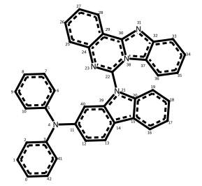 c1ccc(N(c2ccccc2)c2ccc3c4ccccc4n(-c4nc5ccccc5c5nc6ccccc6n45)c3c2)cc1